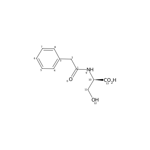 O=C(Cc1ccccc1)N[C@H](CO)C(=O)O